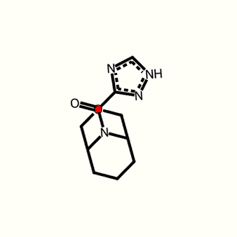 O=C(c1nc[nH]n1)N1C2CCCC1COC2